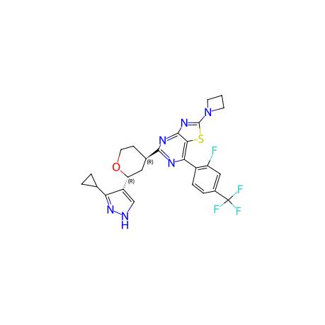 Fc1cc(C(F)(F)F)ccc1-c1nc([C@@H]2CCO[C@@H](c3c[nH]nc3C3CC3)C2)nc2nc(N3CCC3)sc12